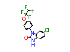 O=c1[nH]c2ccc(Cl)cc2n1-c1ccc(OC(F)(F)C(F)F)cc1